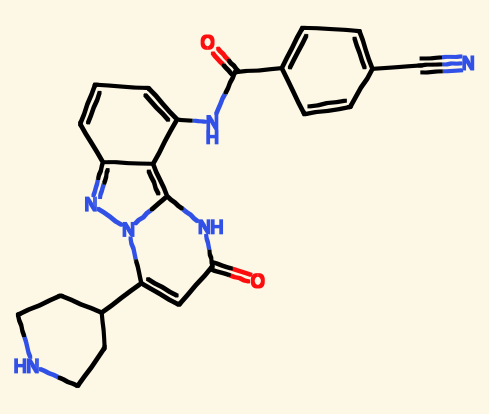 N#Cc1ccc(C(=O)Nc2cccc3nn4c(C5CCNCC5)cc(=O)[nH]c4c23)cc1